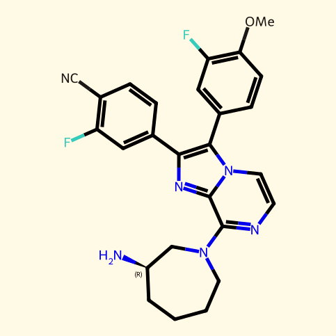 COc1ccc(-c2c(-c3ccc(C#N)c(F)c3)nc3c(N4CCCC[C@@H](N)C4)nccn23)cc1F